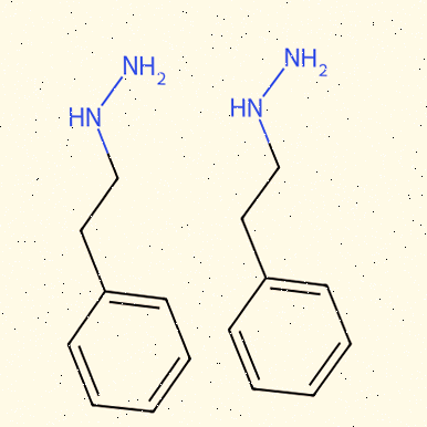 NNCCc1ccccc1.NNCCc1ccccc1